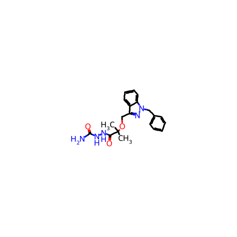 CC(C)(OCc1nn(Cc2ccccc2)c2ccccc12)C(=O)NNC(N)=O